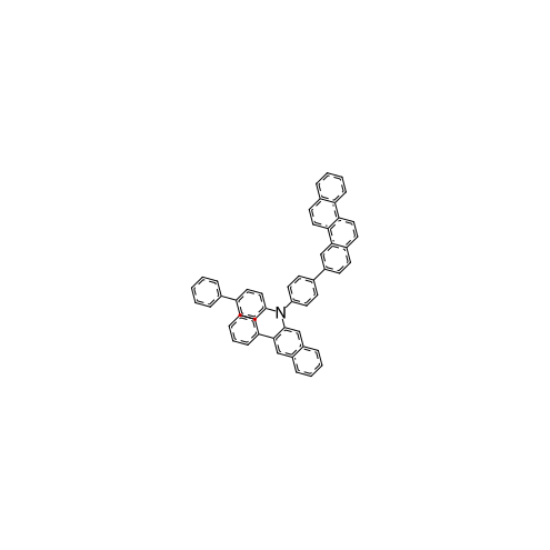 c1ccc(-c2ccc(N(c3ccc(-c4ccc5ccc6c7ccccc7ccc6c5c4)cc3)c3cc4ccccc4cc3-c3ccccc3)cc2)cc1